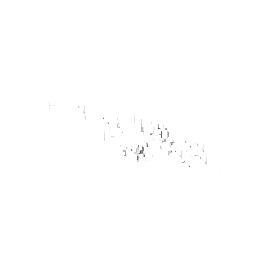 CC(=O)[C@@]1(OP(=O)(O)O)[C@@H](COP(=O)(O)OP(=O)(O)OCC(C)(C)[C@@H](O)C(=O)NCCC(=O)NCCS)O[C@@H](n2cnc3c(N)ncnc32)[C@@H]1O